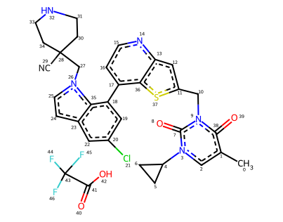 Cc1cn(C2CC2)c(=O)n(Cc2cc3nccc(-c4cc(Cl)cc5ccn(CC6(C#N)CCNCC6)c45)c3s2)c1=O.O=C(O)C(F)(F)F